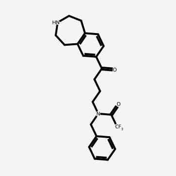 O=C(CCCN(Cc1ccccc1)C(=O)C(F)(F)F)c1ccc2c(c1)CCNCC2